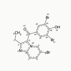 CCc1nc2ccc(Br)cn2c1C(=O)c1cc(Br)c(O)c(Br)c1